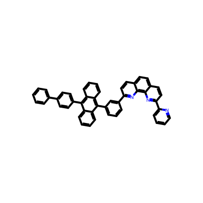 c1ccc(-c2ccc(-c3c4ccccc4c(-c4cccc(-c5ccc6ccc7ccc(-c8ccccn8)nc7c6n5)c4)c4ccccc34)cc2)cc1